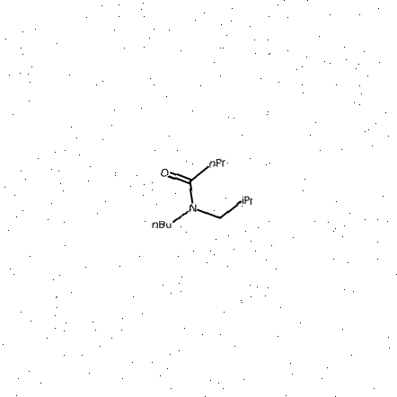 CCCCN(CC(C)C)C(=O)CCC